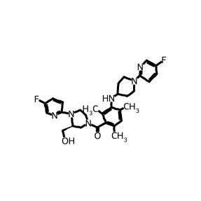 Cc1cc(C)c(C(=O)N2CCN(c3ccc(F)cn3)[C@H](CO)C2)c(C)c1NC1CCN(c2ccc(F)cn2)CC1